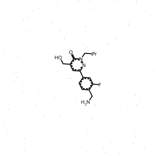 CC(C)Cn1nc(-c2ccc(CN)c(F)c2)cc(CO)c1=O